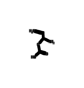 C=CC(N)OC(=O)O